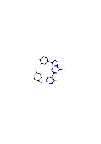 CC1(O)CCC(NS(=O)(=O)c2cc(-c3cnc4c(N)nc(-c5ccncc5F)cn34)ccc2F)CC1